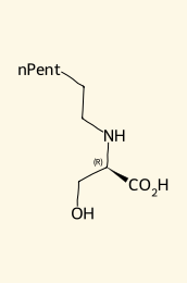 CCCCCCCN[C@H](CO)C(=O)O